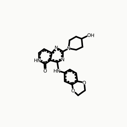 O=c1[nH]ccc2nc(N3CCC(O)CC3)nc(Nc3ccc4c(c3)OCCO4)c12